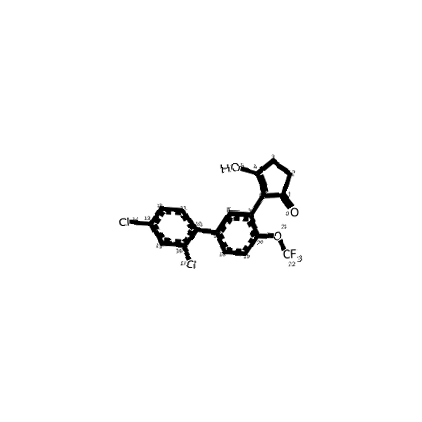 O=C1CCC(O)=C1c1cc(-c2ccc(Cl)cc2Cl)ccc1OC(F)(F)F